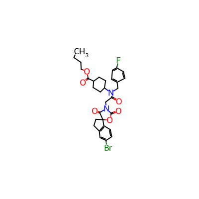 CCCCOC(=O)C1CCC(N(Cc2ccc(F)cc2)C(=O)CN2C(=O)OC3(CCc4cc(Br)ccc43)C2=O)CC1